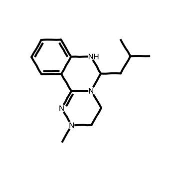 CC(C)CC1Nc2ccccc2C2=NN(C)CCN21